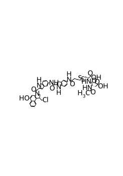 CC(=O)N[C@@H](CC(=O)O)C(=O)N[C@@H](CSSCCC(=O)Nc1ccc2[nH]c(C(=O)Nc3ccc4[nH]c(C(=O)N5CC(CCl)c6c5cc(O)c5ccccc65)cc4c3)cc2c1)C(=O)O